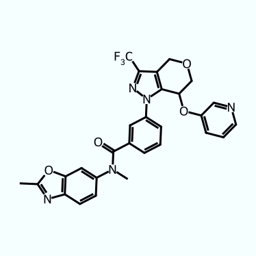 Cc1nc2ccc(N(C)C(=O)c3cccc(-n4nc(C(F)(F)F)c5c4C(Oc4cccnc4)COC5)c3)cc2o1